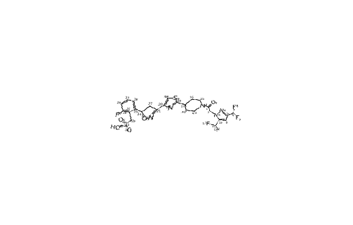 O=C(Cn1nc(C(F)F)cc1C(F)F)N1CCC(c2nc(C3=NOC(c4cccc(F)c4CS(=O)(=O)O)C3)cs2)CC1